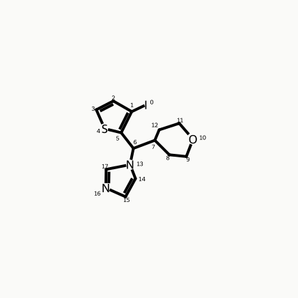 Ic1ccsc1C(C1CCOCC1)n1ccnc1